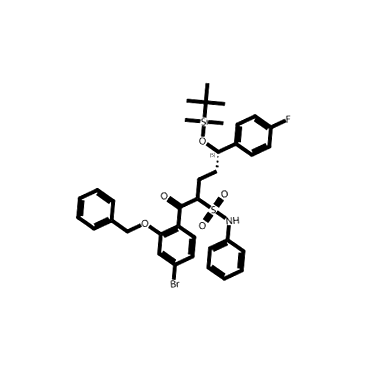 CC(C)(C)[Si](C)(C)O[C@@H](CCC(C(=O)c1ccc(Br)cc1OCc1ccccc1)S(=O)(=O)Nc1ccccc1)c1ccc(F)cc1